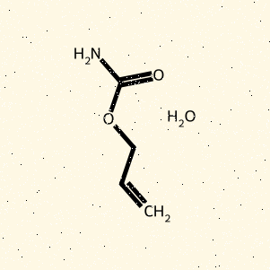 C=CCOC(N)=O.O